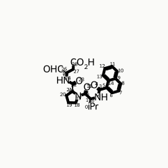 CC(C)[C@H](NC(=O)c1cccc2ccccc12)C(=O)N1CCC[C@H]1C(=O)N[C@H](C=O)CC(=O)O